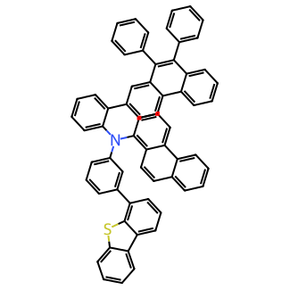 c1ccc(-c2c(-c3ccccc3)c3cc(-c4ccccc4N(c4cccc(-c5cccc6c5sc5ccccc56)c4)c4cccc5c4ccc4ccccc45)ccc3c3ccccc23)cc1